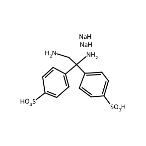 NCC(N)(c1ccc(S(=O)(=O)O)cc1)c1ccc(S(=O)(=O)O)cc1.[NaH].[NaH]